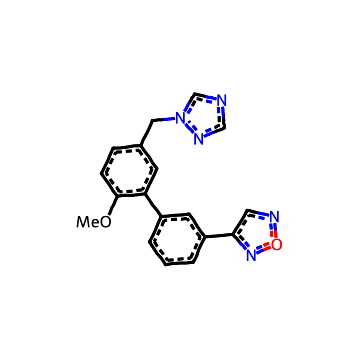 COc1ccc(Cn2cncn2)cc1-c1cccc(-c2cnon2)c1